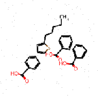 CCCCCc1cccs1.O=C(O)c1ccccc1.O=C(O)c1ccccc1.O=C(O)c1ccccc1